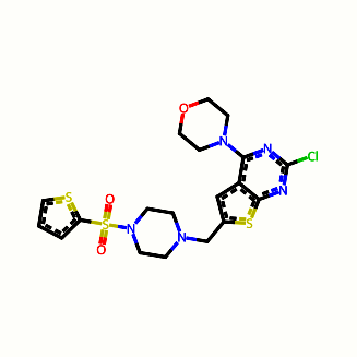 O=S(=O)(c1cccs1)N1CCN(Cc2cc3c(N4CCOCC4)nc(Cl)nc3s2)CC1